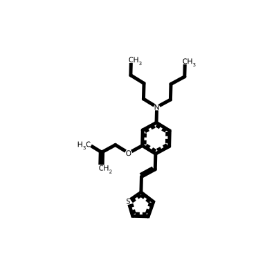 C=C(C)COc1cc(N(CCCC)CCCC)ccc1C=Cc1cccs1